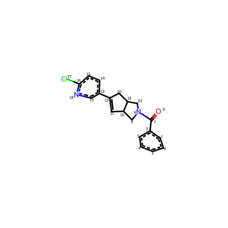 O=C(c1ccccc1)N1CC2C=C(c3ccc(Cl)nc3)CC2C1